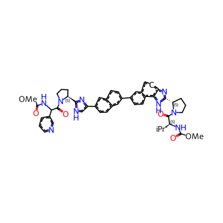 COC(=O)NC(C(=O)N1CCC[C@H]1c1nc(-c2ccc3cc(-c4ccc5c(ccc6nc([C@@H]7CCCN7C(=O)[C@@H](NC(=O)OC)C(C)C)[nH]c65)c4)ccc3c2)c[nH]1)c1cccnc1